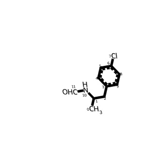 CC(Cc1ccc(Cl)cc1)NC=O